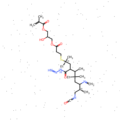 C=NC(CC(C)(CC)C(C)C(C[C@](C)(CC)SCCC(=O)OCC(O)COC(=O)C(=C)C)C(=O)NN=N)[C@@H](C)CN=C=O